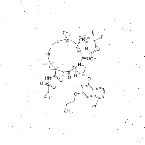 CCCOc1cc2c(Cl)cccc2c(O[C@@H]2C[C@H]3C(=O)N[C@]4(C(=O)NS(=O)(=O)C5CC5)C[C@H]4/C=C\CC[C@H](C)C[C@@H](C)[C@H](N(C(=O)O)[C@H](C)C(F)(F)F)C(=O)N3C2)n1